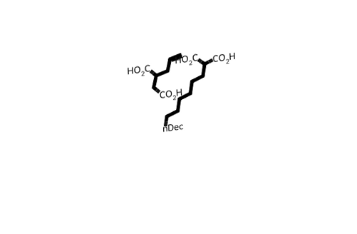 C=CCC(CC(=O)O)C(=O)O.CCCCCCCCCCCCCCCCC(C(=O)O)C(=O)O